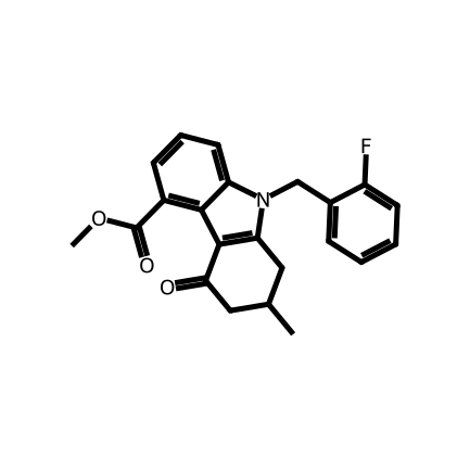 COC(=O)c1cccc2c1c1c(n2Cc2ccccc2F)CC(C)CC1=O